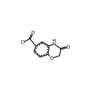 O=C1COc2ccc(C(=O)Cl)cc2N1